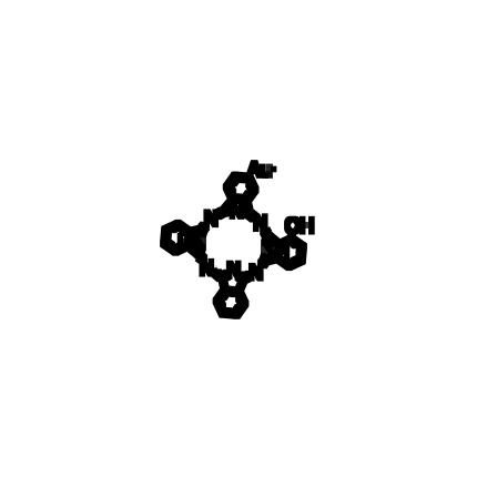 Oc1cccc2c3nc4nc(nc5[nH]c(nc6nc(nc([nH]3)c12)-c1ccccc1-6)c1ccccc51)-c1ccccc1-4.[Au]